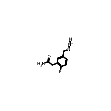 [N-]=[N+]=NCc1ccc(F)c(CC(N)=O)c1